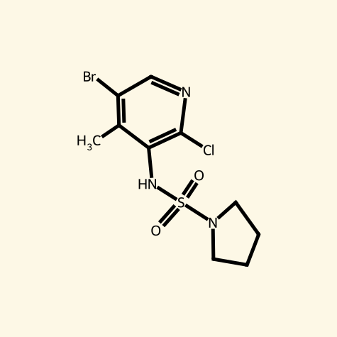 Cc1c(Br)cnc(Cl)c1NS(=O)(=O)N1CCCC1